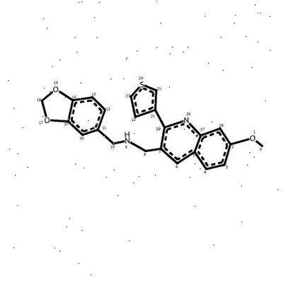 COc1ccc2cc(CNCc3ccc4c(c3)OCO4)c(-c3ccsc3)nc2c1